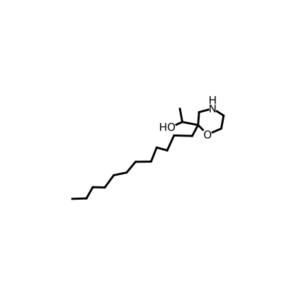 CCCCCCCCCCCCC1(C(C)O)CNCCO1